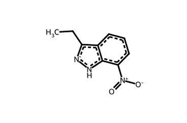 CCc1n[nH]c2c([N+](=O)[O-])cccc12